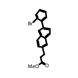 COC(=O)CCc1ccc2cc(-c3ccccc3Br)ccc2c1